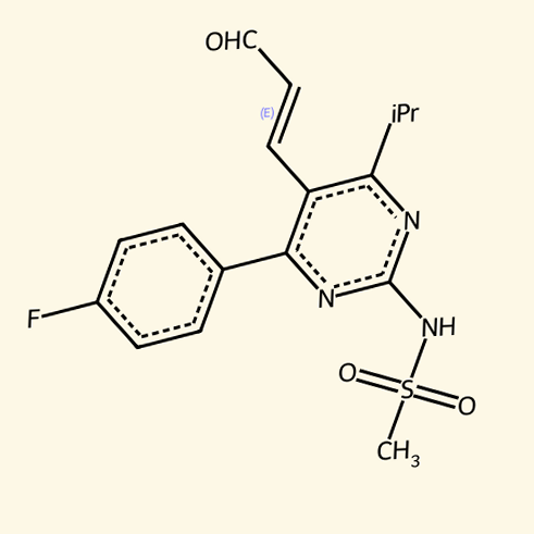 CC(C)c1nc(NS(C)(=O)=O)nc(-c2ccc(F)cc2)c1/C=C/C=O